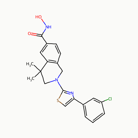 CC1(C)CN(c2nc(-c3cccc(Cl)c3)cs2)Cc2ccc(C(=O)NO)cc21